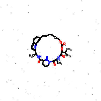 CC1NC(=O)[C@@H]2CCCN(N2)C(=O)[C@H](C)NC(=O)[C@H](C(C)C)OC(=O)OCCCC/C=C/c2ccc3ccc1nc3c2